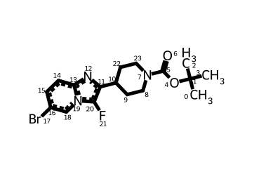 CC(C)(C)OC(=O)N1CCC(c2nc3ccc(Br)cn3c2F)CC1